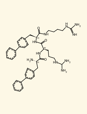 N=C(N)NCCCCNC(=O)[C@H](Cc1ccc(-c2ccccc2)cc1)NC(=O)[C@@H](CCCNC(N)N)NC(=O)[C@@H](N)Cc1ccc(-c2ccccc2)cc1